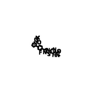 CNC(=O)c1cc2sc3nc(-c4ccc(C5CCCN5C(=O)OC(C)(C)C)cc4F)cn3c2cn1